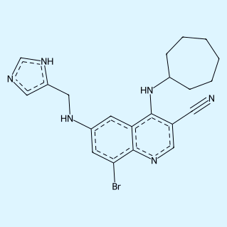 N#Cc1cnc2c(Br)cc(NCc3cnc[nH]3)cc2c1NC1CCCCCC1